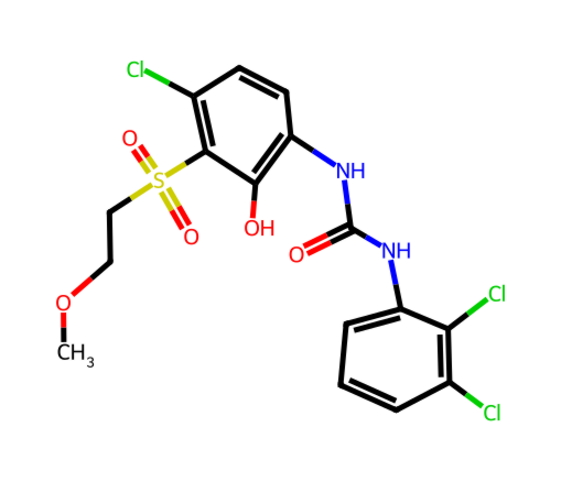 COCCS(=O)(=O)c1c(Cl)ccc(NC(=O)Nc2cccc(Cl)c2Cl)c1O